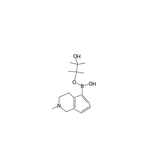 CN1CCc2c(cccc2B(O)OC(C)(C)C(C)(C)O)C1